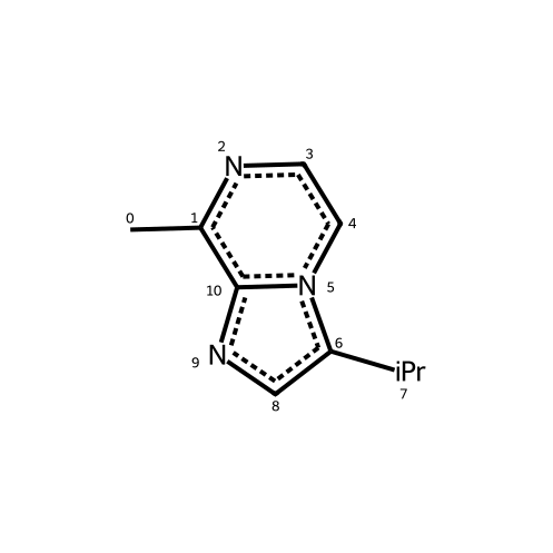 Cc1nccn2c(C(C)C)cnc12